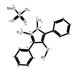 CC(C)Oc1c(-c2ccccc2)n(C)[n+](C)c1-c1ccccc1.COS(=O)(=O)[O-]